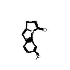 O=C1CCc2cc3ccc(F)cc3n21